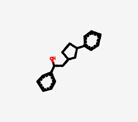 OC(CC1CCC(c2ccccc2)C1)c1ccccc1